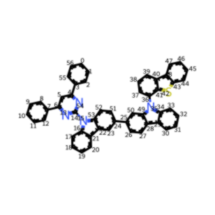 c1ccc(-c2cc(-c3ccccc3)nc(-n3c4ccccc4c4cc(-c5ccc6c7ccccc7n(-c7cccc8c7sc7ccccc78)c6c5)ccc43)n2)cc1